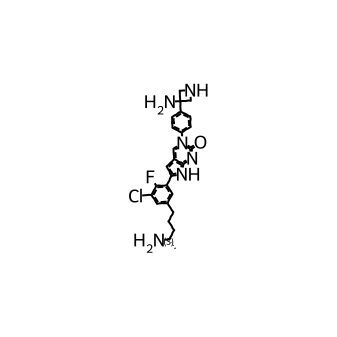 C[C@H](N)CCCc1cc(Cl)c(F)c(-c2cc3cn(-c4ccc(C5(N)CNC5)cc4)c(=O)nc3[nH]2)c1